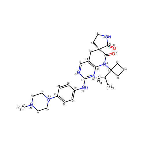 CC(C)C1(N2C(=O)[C@]3(CCNC3=O)Cc3cnc(Nc4ccc(N5CCN(C)CC5)cc4)nc32)CCC1